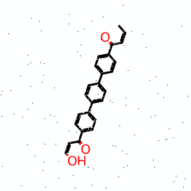 C/C=C\C(=O)c1ccc(-c2ccc(-c3ccc(C(=O)/C=C\O)cc3)cc2)cc1